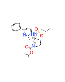 CCCCS(=O)(=O)N[C@@H]1CCCN(C(=O)OC(C)C)[C@@H]1Cc1cccc(-c2ccccc2)n1